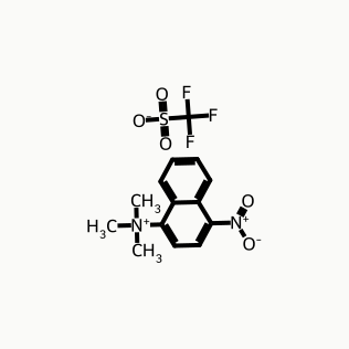 C[N+](C)(C)c1ccc([N+](=O)[O-])c2ccccc12.O=S(=O)([O-])C(F)(F)F